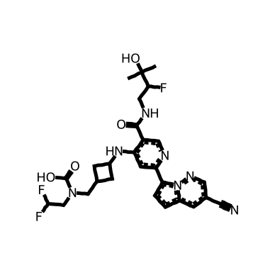 CC(C)(O)C(F)CNC(=O)c1cnc(-c2ccc3cc(C#N)cnn23)cc1NC1CC(CN(CC(F)F)C(=O)O)C1